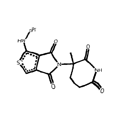 CCCNc1scc2c1C(=O)N(C1(C)CCC(=O)NC1=O)C2=O